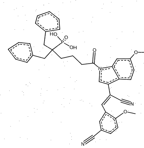 COc1ccc2c(/C(C#N)=C/c3cc(C#N)ccc3OC)cn(C(=O)CCCC(Cc3ccccc3)(Cc3ccccc3)P(=O)(O)O)c2c1